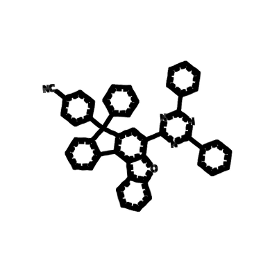 N#Cc1ccc(C2(c3ccccc3)c3ccccc3-c3c2cc(-c2nc(-c4ccccc4)nc(-c4ccccc4)n2)c2oc4ccccc4c32)cc1